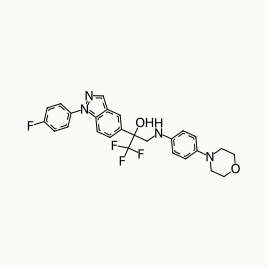 OC(CNc1ccc(N2CCOCC2)cc1)(c1ccc2c(cnn2-c2ccc(F)cc2)c1)C(F)(F)F